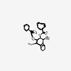 CC(C)(C)C1C(OC(=O)c2ccccc2)C(OC(=O)c2ccccc2)C(C(C)(C)C)C2C3CCC(C3)C21